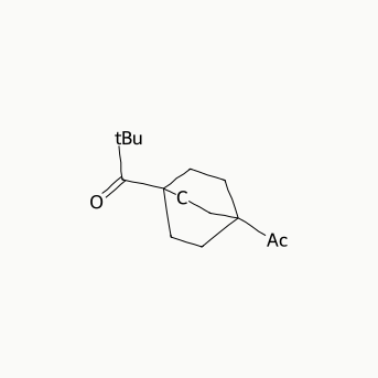 CC(=O)C12CCC(C(=O)C(C)(C)C)(CC1)CC2